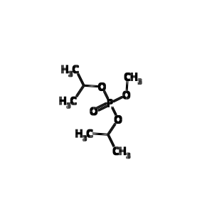 COP(=O)(OC(C)C)OC(C)C